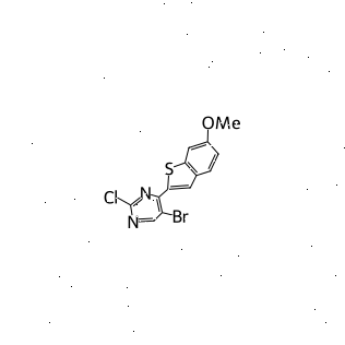 COc1ccc2cc(-c3nc(Cl)ncc3Br)sc2c1